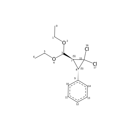 CCOC(OCC)[C@@H]1[C@@H](c2ccccc2)C1(Cl)Cl